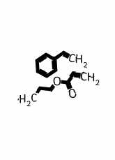 C=Cc1ccccc1.[CH2]CCOC(=O)C=C